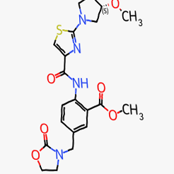 COC(=O)c1cc(CN2CCOC2=O)ccc1NC(=O)c1csc(N2CC[C@H](OC)C2)n1